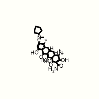 CN(Cc1cc(O)c2c(c1F)C[C@H]1C[C@H]3[C@H](N(C)C)C(O)=C(C(N)=O)C(=O)[C@@]3(O)C(O)=C1C2=O)C1CCCCC1